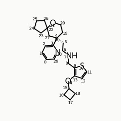 c1ccc([C@]2(CCNCc3sccc3OC3CCC3)CCOC3(CCCC3)C2)nc1